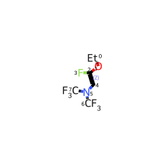 CCO/C(F)=C/N(C(F)(F)F)C(F)(F)F